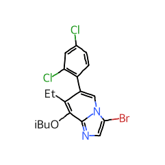 CCc1c(-c2ccc(Cl)cc2Cl)cn2c(Br)cnc2c1OCC(C)C